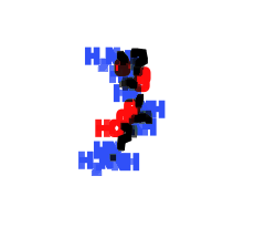 C[C@H](NC(=O)CNC(=O)[C@H](C)NC(=O)[C@@H]1CCCN1C(=O)CN)C(=O)N[C@@H](CCCNC(=N)N)C(=O)O